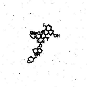 C#Cc1c(F)ccc2cc(O)cc(-c3nc(OC)c4c(N5CCCOCC5)nc(OC[C@]56CCC[C@H]5N(CC5CCOCC5)CCC6)nc4c3F)c12